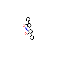 O=Cc1c(-c2ccccc2)ccc2c1nnc1c(C=O)c(-c3ccccc3)ccc12